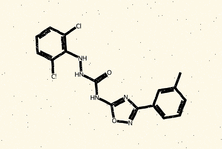 Cc1cccc(-c2noc(NC(=O)NNc3c(Cl)cccc3Cl)n2)c1